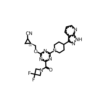 N#CC1C[C@@H]1COc1nc(C(=O)N2CC(F)(F)C2)nc(N2CCC(c3n[nH]c4ncccc34)CC2)n1